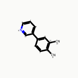 N#Cc1ccc(-c2cc[c]nc2)cc1C#N